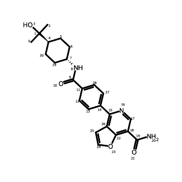 CC(C)(O)[C@H]1CC[C@H](NC(=O)c2ccc(-c3ncc(C(N)=O)c4occc34)cc2)CC1